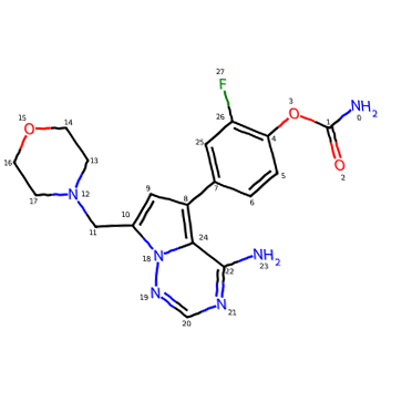 NC(=O)Oc1ccc(-c2cc(CN3CCOCC3)n3ncnc(N)c23)cc1F